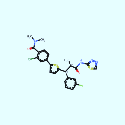 C[C@@H](C(=O)Nc1nncs1)[C@@H](c1cccc(F)c1)c1ccc(-c2ccc(C(=O)N(C)C)c(Cl)c2)s1